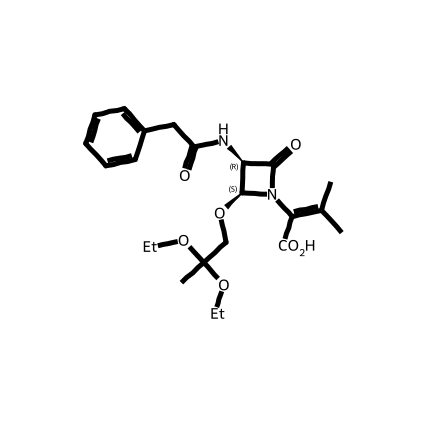 CCOC(C)(CO[C@H]1[C@@H](NC(=O)Cc2ccccc2)C(=O)N1C(C(=O)O)=C(C)C)OCC